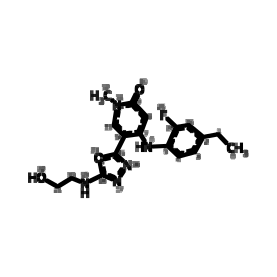 CCc1ccc(Nc2cc(=O)n(C)cc2-c2nnc(NCCO)o2)c(F)c1